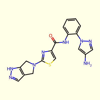 Nc1cnn(-c2ccccc2NC(=O)c2csc(N3Cc4cn[nH]c4C3)n2)c1